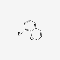 Brc1cccc2c1OCC=C2